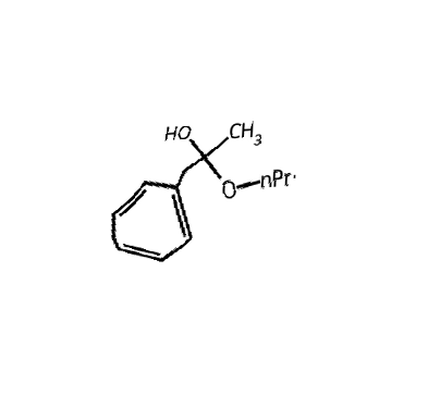 CC[CH]OC(C)(O)c1ccccc1